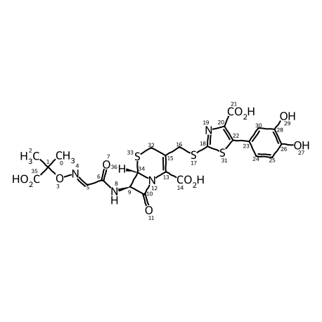 CC(C)(ON=CC(=O)N[C@@H]1C(=O)N2C(C(=O)O)=C(CSc3nc(C(=O)O)c(-c4ccc(O)c(O)c4)s3)CS[C@@H]12)C(=O)O